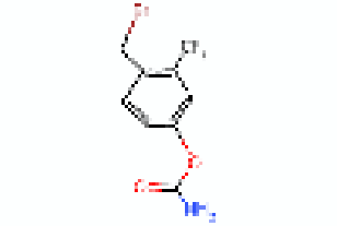 NC(=O)Oc1ccc(CBr)c(C(F)(F)F)c1